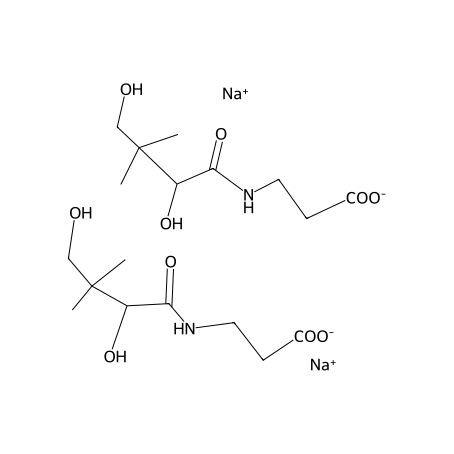 CC(C)(CO)C(O)C(=O)NCCC(=O)[O-].CC(C)(CO)C(O)C(=O)NCCC(=O)[O-].[Na+].[Na+]